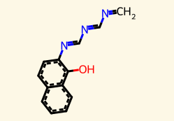 C=NC=NC=Nc1ccc2ccccc2c1O